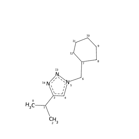 CC(C)c1cn(CC2CCCCC2)nn1